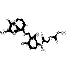 COC(=O)NCC(=O)N(C)c1ccc(Cl)c(COc2cccn3c(Br)c(C)nc23)c1Cl